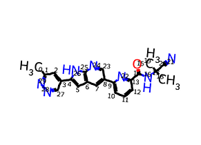 Cc1cc(-c2cc3cc(-c4cccc(C(=O)NC(C)(C)C#N)n4)cnc3[nH]2)cnn1